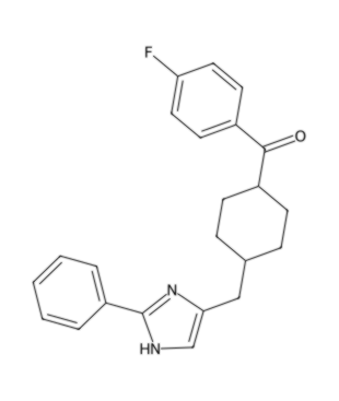 O=C(c1ccc(F)cc1)C1CCC(Cc2c[nH]c(-c3ccccc3)n2)CC1